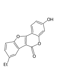 CCc1ccc2oc3c4ccc(O)cc4oc(=O)c3c2c1